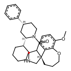 COc1cccc2c1OCCC[C@]21CNCC1C(=O)N1CC[C@@H](c2ccccc2)C[C@H]1C1CCCCC1